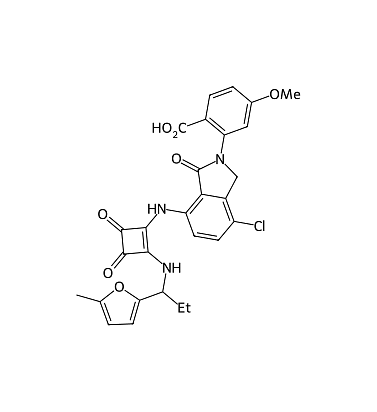 CCC(Nc1c(Nc2ccc(Cl)c3c2C(=O)N(c2cc(OC)ccc2C(=O)O)C3)c(=O)c1=O)c1ccc(C)o1